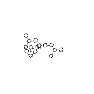 c1ccc(-c2cc(-c3ccccc3)cc(-c3cccc(-c4ccc(-c5nc(-c6cccc(-c7cc(-c8ccccc8)cc(-c8ccccc8)c7)c6)nc(-c6cccc7c6-c6ccccc6C76c7ccccc7-c7ccccc76)n5)cc4)c3)c2)cc1